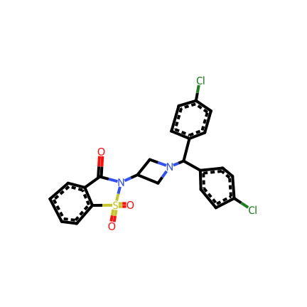 O=C1c2ccccc2S(=O)(=O)N1C1CN(C(c2ccc(Cl)cc2)c2ccc(Cl)cc2)C1